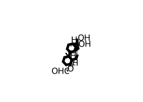 C[C@]12CCC[C@](C)(OC=O)[C@@H]1CC[C@@]13C[C@@H](CC[C@@H]12)[C@@](O)(CO)C3